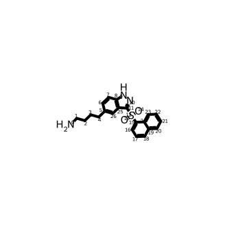 NCCCCc1ccc2[nH]nc(S(=O)(=O)c3cccc4ccccc34)c2c1